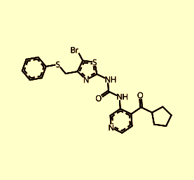 O=C(Nc1nc(CSc2ccccc2)c(Br)s1)Nc1cnccc1C(=O)C1CCCC1